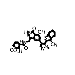 Cn1ncc(-c2cc(O)c3c(=O)[nH]nc(CNC(=O)c4ccccc4C(=O)O)c3c2)c1-c1sc2ccccc2c1C#N